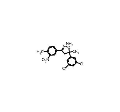 Cc1ccc(C2=NOC(c3cc(Cl)cc(Cl)c3)(C(F)(F)F)C2)cc1[N+](=O)[O-].N